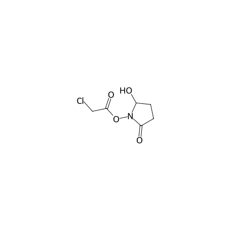 O=C(CCl)ON1C(=O)CCC1O